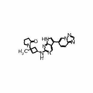 C[C@]1(N2CCCC2=O)C[C@H](Nc2ncc3c(-c4ccc5ncnn5c4)c[nH]c3n2)C1